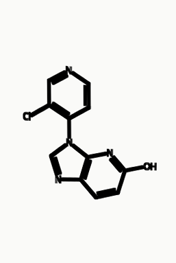 Oc1ccc2ncn(-c3ccncc3Cl)c2n1